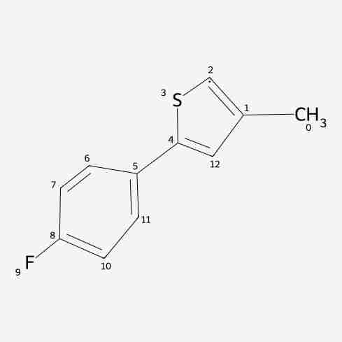 Cc1[c]sc(-c2ccc(F)cc2)c1